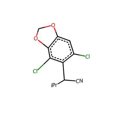 CC(C)C(C#N)c1c(Cl)cc2c(c1Cl)OCO2